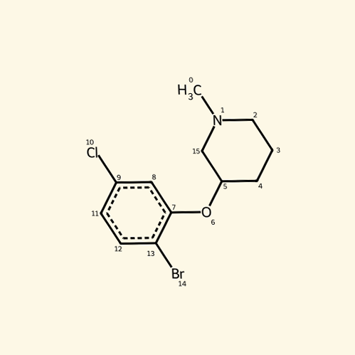 CN1CCCC(Oc2cc(Cl)ccc2Br)C1